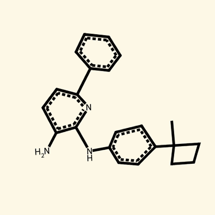 CC1(c2ccc(Nc3nc(-c4ccccc4)ccc3N)cc2)CCC1